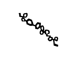 C=CC(=O)OCCOC(=O)Oc1ccc(-c2ccc(OC(=O)C=C)cc2)cc1